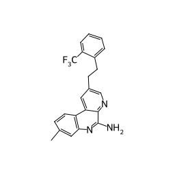 Cc1ccc2c(c1)nc(N)c1ncc(CCc3ccccc3C(F)(F)F)cc12